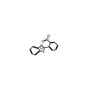 O=[N+]([O-])c1ccccc1C1Nc2ccccc2S1